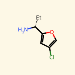 CC[C@@H](N)c1cc(Cl)co1